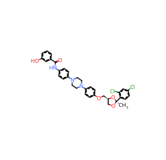 C[C@]1(c2ccc(Cl)cc2Cl)OC[C@@H](COc2ccc(N3CCN(c4ccc(NC(=O)c5cccc(O)c5)cc4)CC3)cc2)O1